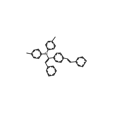 Cc1ccc(N(C(=Cc2ccccc2)c2ccc(C=Cc3ccccc3)cc2)c2ccc(C)cc2)cc1